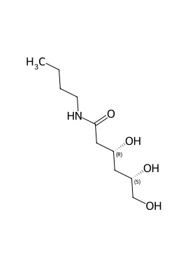 CCCCNC(=O)C[C@H](O)C[C@H](O)CO